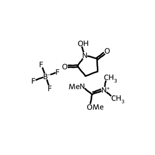 CNC(OC)=[N+](C)C.F[B-](F)(F)F.O=C1CCC(=O)N1O